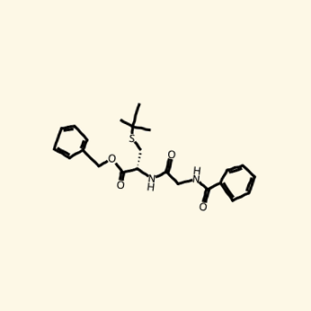 CC(C)(C)SC[C@H](NC(=O)CNC(=O)c1ccccc1)C(=O)OCc1ccccc1